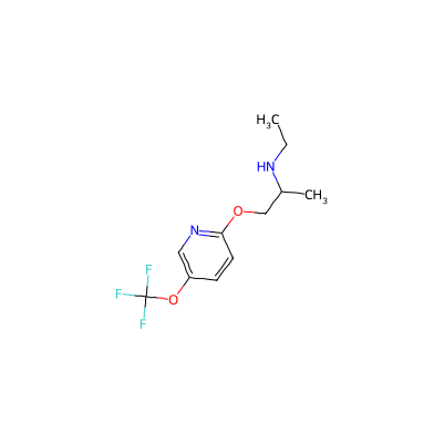 CCNC(C)COc1ccc(OC(F)(F)F)cn1